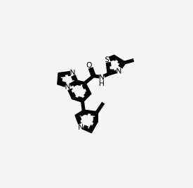 Cc1csc(NC(=O)c2cc(-c3cnccc3C)cn3ccnc23)n1